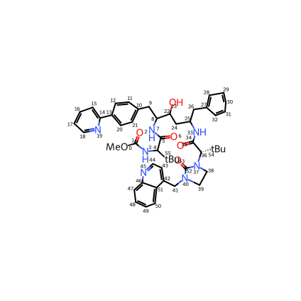 COC(=O)NC(C(=O)NC(Cc1ccc(-c2ccccn2)cc1)C(O)CC(Cc1ccccc1)NC(=O)[C@@H](N1CCN(Cc2ccnc3ccccc23)C1=O)C(C)(C)C)C(C)(C)C